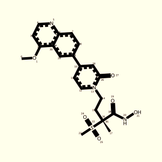 COc1ccnc2ccc(-c3ccn(CC[C@](C)(C(=O)NO)S(C)(=O)=O)c(=O)c3)cc12